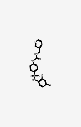 O=C(NCc1cccnc1)Nc1ccc(S(=O)(=O)Nc2ccc(F)cc2F)cc1